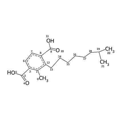 Cc1c(C(=O)O)ccc(C(=O)O)c1CCCCCCC(C)C